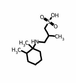 CC(CNC1(C)CCCCC1C)CS(=O)(=O)O